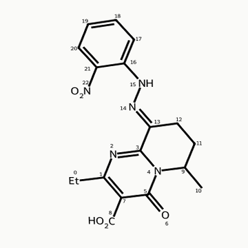 CCc1nc2n(c(=O)c1C(=O)O)C(C)CCC2=NNc1ccccc1[N+](=O)[O-]